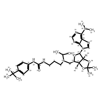 CC(C)N(CCCNC(=O)Nc1ccc(C(C)(C)C)cc1)C[C@H]1O[C@@H](n2cnc3c(N(C)C)ncnc32)[C@@H]2OC(C)(C)O[C@@H]21